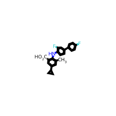 Cc1cc(C2CC2)cc(C(=O)O)c1Nc1ccc(-c2ccc(F)cc2)cc1F